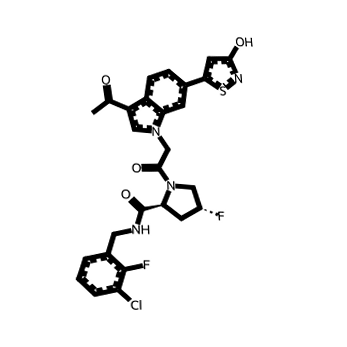 CC(=O)c1cn(CC(=O)N2C[C@H](F)C[C@H]2C(=O)NCc2cccc(Cl)c2F)c2cc(-c3cc(O)ns3)ccc12